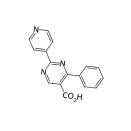 O=C(O)c1cnc(-c2ccncc2)nc1-c1ccccc1